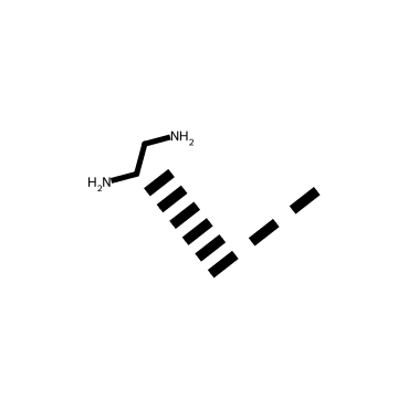 C=C.C=C.C=C.C=C.C=C.C=C.C=C.C=C.NCCN